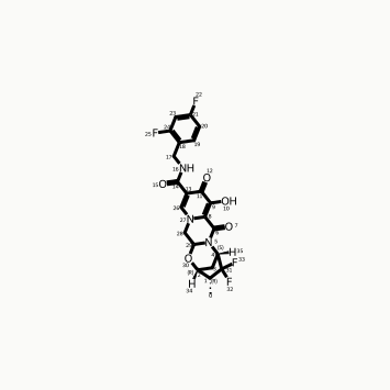 C[C@@H]1[C@H]2C[C@H](N3C(=O)c4c(O)c(=O)c(C(=O)NCc5ccc(F)cc5F)cn4CC3O2)C1(F)F